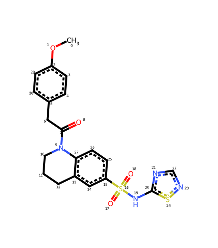 COc1ccc(CC(=O)N2CCCc3cc(S(=O)(=O)Nc4ncns4)ccc32)cc1